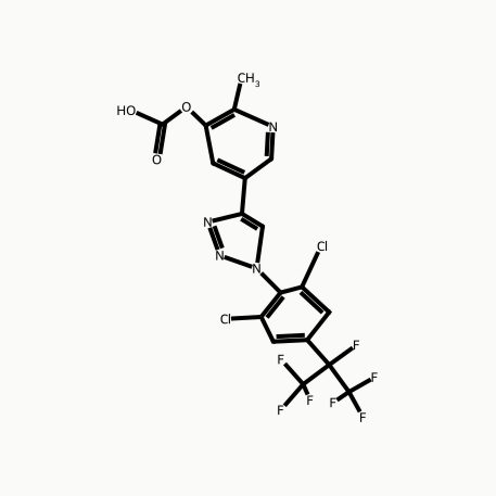 Cc1ncc(-c2cn(-c3c(Cl)cc(C(F)(C(F)(F)F)C(F)(F)F)cc3Cl)nn2)cc1OC(=O)O